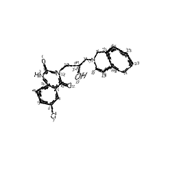 O=c1[nH]c2ccc(Cl)cc2c(=O)n1C[C@H](O)CN1CCc2ccccc2C1